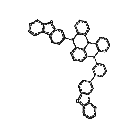 c1cc(-c2ccc3oc4ccccc4c3c2)cc(N2c3ccccc3B3c4ccccc4N(c4ccc5c(c4)oc4ccccc45)c4cccc2c43)c1